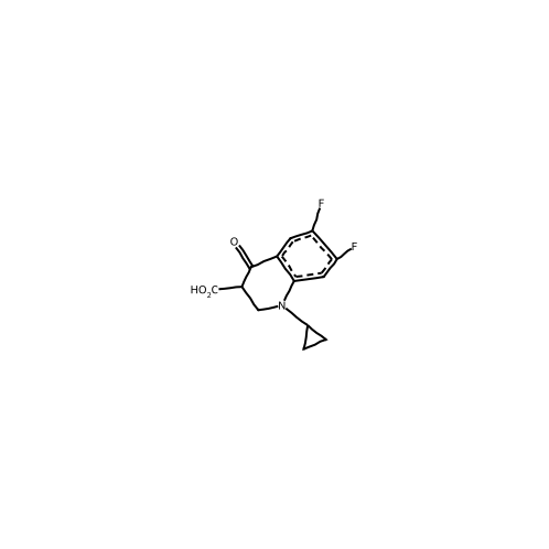 O=C(O)C1CN(C2CC2)c2cc(F)c(F)cc2C1=O